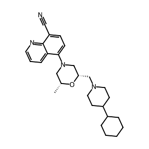 C[C@@H]1CN(c2ccc(C#N)c3ncccc23)C[C@H](CN2CCC(C3CCCCC3)CC2)O1